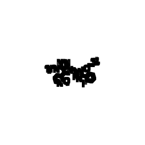 COc1ncccc1-c1cn(Cc2nnc(-c3ccccc3F)n2COCC[Si](C)(C)C)c2ncnc(N=CN(C)C)c12